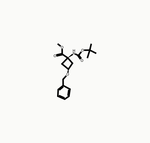 COC(=O)[C@]1(NC(=O)OC(C)(C)C)C[C@@H](OCc2ccccc2)C1